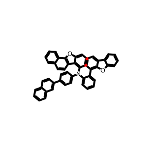 c1ccc(N(c2ccc(-c3ccc4ccccc4c3)cc2)c2cccc3oc4c5ccccc5ccc4c23)c(-c2cccc3c2oc2ccccc23)c1